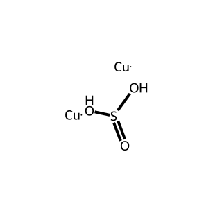 O=S(O)O.[Cu].[Cu]